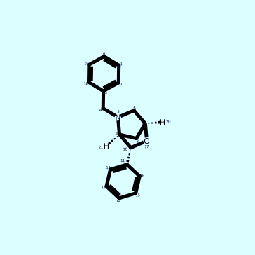 c1ccc(CN2C[C@@H]3C[C@H]2[C@@H](c2ccccc2)O3)cc1